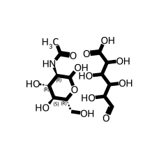 CC(=O)N[C@H]1C(O)O[C@H](CO)[C@@H](O)[C@@H]1O.O=CC(O)C(O)C(O)C(O)C(=O)O